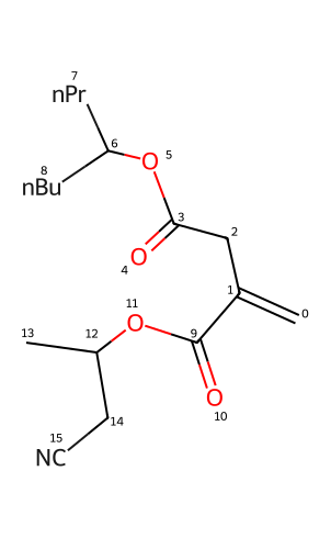 C=C(CC(=O)OC(CCC)CCCC)C(=O)OC(C)CC#N